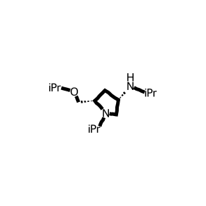 CC(C)N[C@H]1C[C@@H](COC(C)C)N(C(C)C)C1